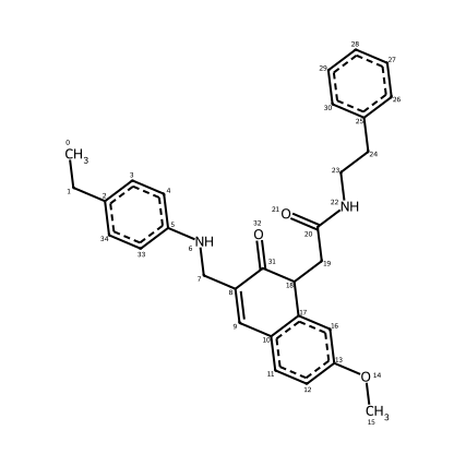 CCc1ccc(NCC2=Cc3ccc(OC)cc3C(CC(=O)NCCc3ccccc3)C2=O)cc1